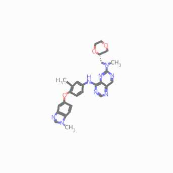 Cc1cc(Nc2ncnc3cnc(N(C)C[C@H]4COCCO4)nc23)ccc1Oc1ccc2c(c1)ncn2C